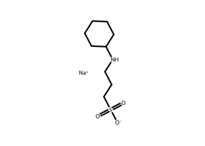 O=S(=O)([O-])CCCNC1CCCCC1.[Na+]